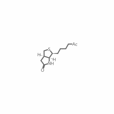 CC(=O)CCCC[C@@H]1SC[C@@H]2CC(=O)N[C@@H]21